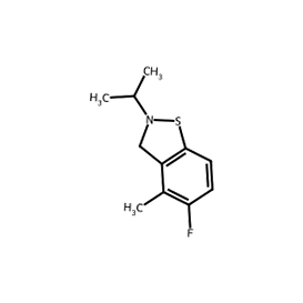 Cc1c(F)ccc2c1CN(C(C)C)S2